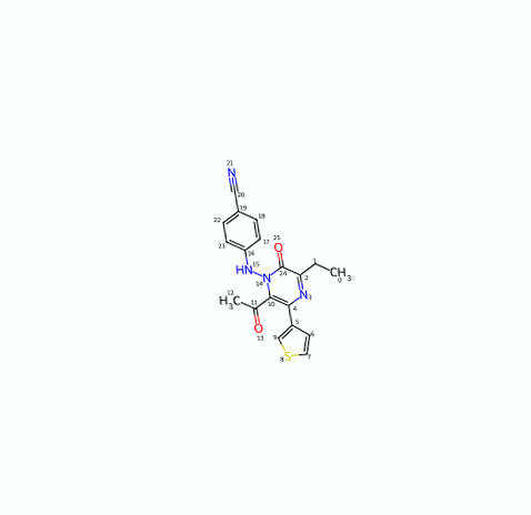 CCc1nc(-c2ccsc2)c(C(C)=O)n(Nc2ccc(C#N)cc2)c1=O